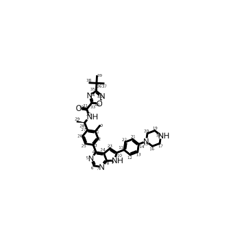 Cc1cc(-c2ncnc3[nH]c(-c4ccc(N5CCNCC5)cc4)cc23)ccc1[C@@H](C)NC(=O)c1nc(C(C)(C)C)no1